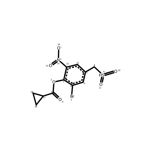 O=C(Oc1c(Br)cc(C[SH](=O)=O)cc1[N+](=O)[O-])C1CC1